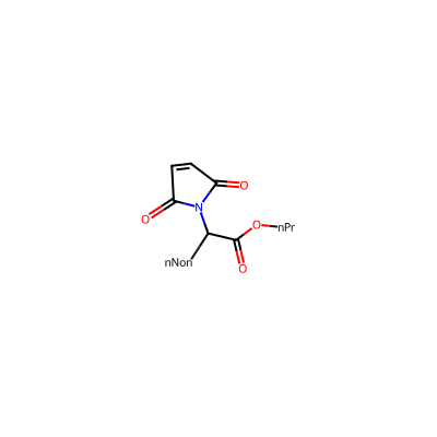 CCCCCCCCCC(C(=O)OCCC)N1C(=O)C=CC1=O